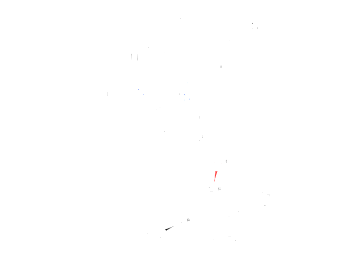 CC/C(=N\C)N(CC(=O)O[C@@H]1C[C@H](C)CC[C@H]1C(C)C)c1cc(C#N)ccc1C